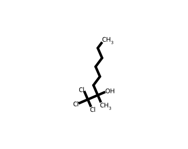 CCCCCCC(C)(O)C(Cl)(Cl)Cl